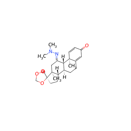 CN(C)/N=C1\C[C@@]2(C)[C@@H](CC[C@@]23OCOC32COCO2)[C@@H]2CCC3=CC(=O)C=C[C@]3(C)[C@@H]12